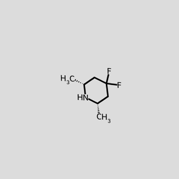 C[C@@H]1CC(F)(F)C[C@H](C)N1